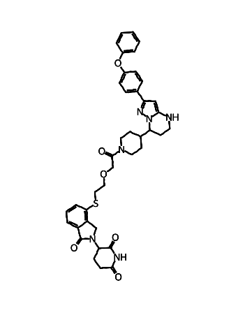 O=C1CCC(N2Cc3c(SCCOCC(=O)N4CCC(C5CCNc6cc(-c7ccc(Oc8ccccc8)cc7)nn65)CC4)cccc3C2=O)C(=O)N1